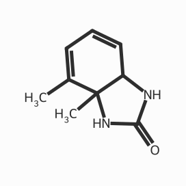 CC1=CC=CC2NC(=O)NC12C